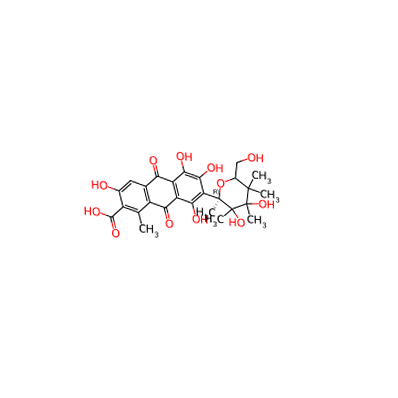 Cc1c(C(=O)O)c(O)cc2c1C(=O)c1c(O)c([C@@]3(C)OC(CO)C(C)(C)C(C)(O)C3(C)O)c(O)c(O)c1C2=O